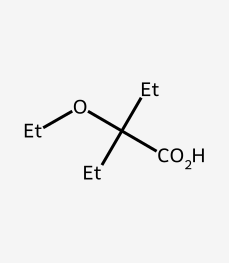 CCOC(CC)(CC)C(=O)O